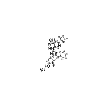 COCCOc1ccc(-c2nc(Nc3cnc(-c4cccs4)cc3C(=O)O)sc2CC2CCCCC2)cc1F